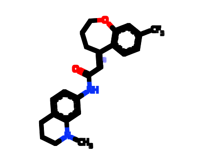 CN1CCCc2ccc(NC(=O)/C=C3\CCCOc4cc(C(F)(F)F)ccc43)cc21